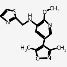 COc1ncc(-c2c(C)noc2C)cc1NCc1nccs1